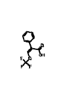 O=C(O)C(=COC(F)(F)F)c1ccccc1